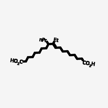 CCCC(CCCCCCCC(=O)O)/C(=C/CCCCCCCC(=O)O)CC